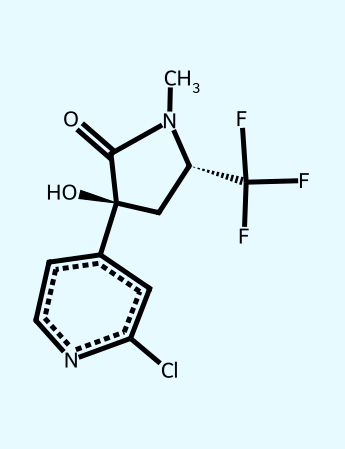 CN1C(=O)[C@@](O)(c2ccnc(Cl)c2)C[C@H]1C(F)(F)F